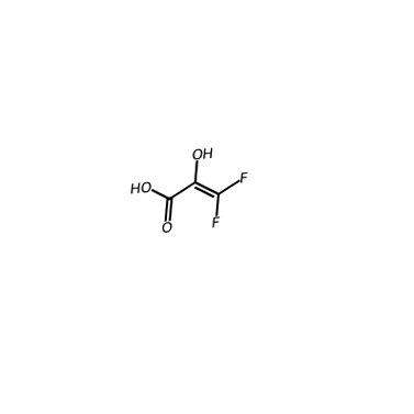 O=C(O)C(O)=C(F)F